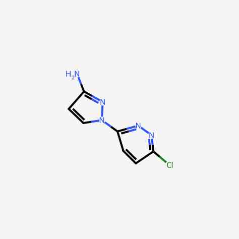 Nc1ccn(-c2ccc(Cl)nn2)n1